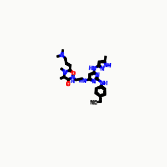 Cc1cc(Nc2cc(NCCNC(=O)C(C)N(C)C(=O)/C=C/CN(C)C)nc(Nc3ccc(CC#N)cc3)n2)n[nH]1